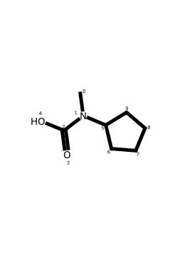 CN(C(=O)O)C1CCCC1